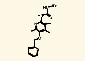 Cc1nc(NC(=S)NC(C)C)c(C)c(C)c1OCc1ccccc1